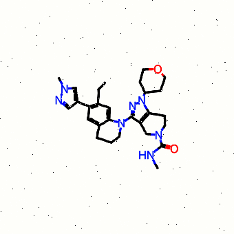 CCc1cc2c(cc1-c1cnn(C)c1)CCCN2c1nn(C2CCOCC2)c2c1CN(C(=O)NC)CC2